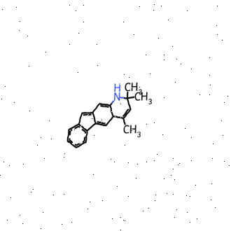 CC1=CC(C)(C)NC2=CC3=Cc4ccccc4C3=CC12